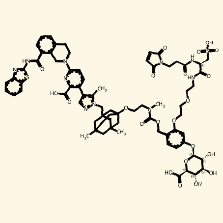 Cc1c(-c2ccc(N3CCc4cccc(C(=O)Nc5nc6ccccc6s5)c4C3)nc2C(=O)O)cnn1CC12CC3(C)CC(C)(C1)CC(OCCN(C)C(=O)OCc1ccc(O[C@@H]4O[C@H](C(=O)O)[C@@H](O)[C@H](O)[C@H]4O)cc1OCCOCCNC(=O)[C@H](CS(=O)(=O)O)NC(=O)CCN1C(=O)C=CC1=O)(C3)C2